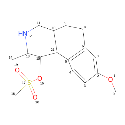 COc1ccc2c(c1)CCC1CNC(C)C(OS(C)(=O)=O)C21